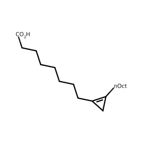 CCCCCCCCC1=C(CCCCCCCC(=O)O)C1